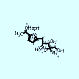 CCCCCCCC(C)c1ccc(CC(O)C(O)C(N)(CO)C(=O)O)[nH]1